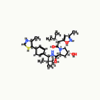 Cc1cc([C@H](C(=O)N2C[C@H](O)C[C@H]2C(=O)NC(c2ccc(-c3scnc3C)cc2)C(C)(C)C)C(C)C)on1